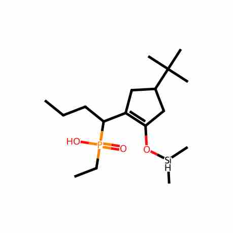 CCCC(C1=C(O[SiH](C)C)CC(C(C)(C)C)C1)P(=O)(O)CC